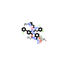 CC(C)n1ccc(CC(=O)N[C@@H](Cc2cc(F)cc(F)c2)c2nc3cc(-c4ccccc4F)ccc3c(=O)n2-c2ccc(Cl)c3c(NS(C)(=O)=O)nn(C)c23)n1